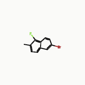 Cc1ccc2cc(Br)ccc2c1F